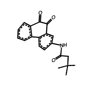 CC(C)(C)CC(=O)Nc1ccc2c(c1)C(=O)C(=O)c1ccccc1-2